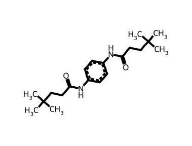 CC(C)(C)CCC(=O)Nc1ccc(NC(=O)CCC(C)(C)C)cc1